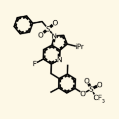 Cc1cc(OS(=O)(=O)C(F)(F)F)cc(C)c1Cc1nc2c(C(C)C)cn(S(=O)(=O)Cc3ccccc3)c2cc1F